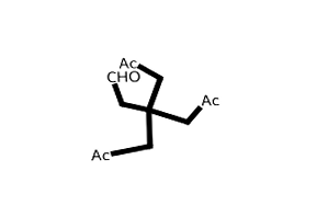 CC(=O)CC(CC=O)(CC(C)=O)CC(C)=O